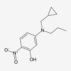 CCCN(CC1CC1)c1ccc([N+](=O)[O-])c(O)c1